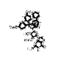 COc1ccc(C(OC(C(=O)COc2ccccc2)[C@H]2O[C@@H](n3cnc4c(=O)[nH]c(N)nc43)[C@H](OC)[C@@H]2O)(c2ccccc2)c2ccc(OC)cc2)cc1